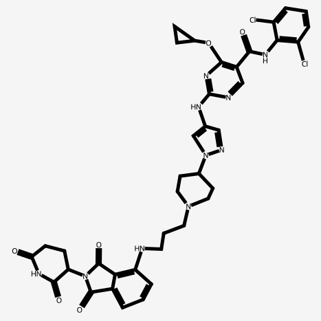 O=C1CCC(N2C(=O)c3cccc(NCCCN4CCC(n5cc(Nc6ncc(C(=O)Nc7c(Cl)cccc7Cl)c(OC7CC7)n6)cn5)CC4)c3C2=O)C(=O)N1